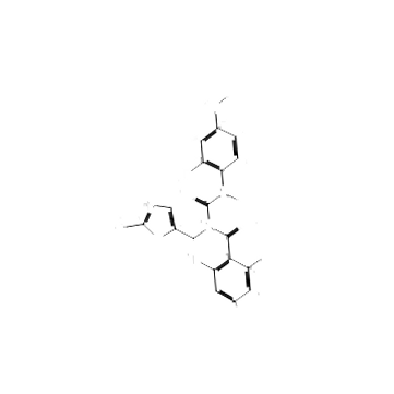 CN(C(=O)N(Cc1cnc(Cl)s1)C(=O)c1c(F)cccc1F)c1ccc(SC(F)(F)F)cc1F